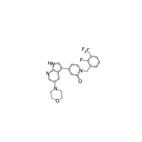 O=c1cc(-c2c[nH]c3ncc(N4CCOCC4)cc23)ccn1Cc1cccc(C(F)(F)F)c1F